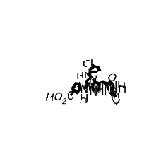 O=C1NC(=O)/C(=C/c2cnn3c(Nc4cccc(C(=O)O)c4)cc(Nc4cccc(Cl)c4)nc23)N1